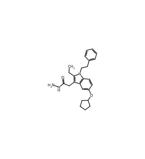 CCc1c(CC(=O)NN)c2cc(OC3CCCC3)ccc2n1CCc1ccccc1